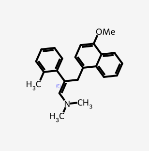 COc1ccc(C/C(=C\N(C)C)c2ccccc2C)c2ccccc12